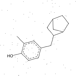 Cc1cc(CC2CC3CCC2C3)ccc1O